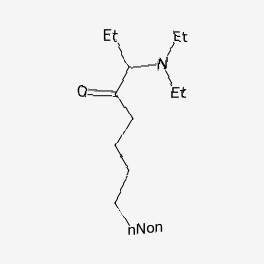 CCCCCCCCCCCCCC(=O)C(CC)N(CC)CC